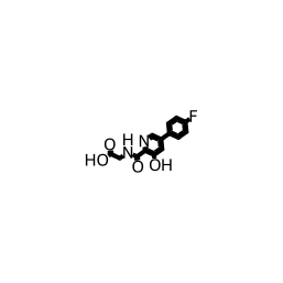 O=C(O)CNC(=O)c1ncc(-c2ccc(F)cc2)cc1O